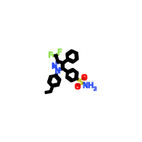 CCc1ccc(-n2nc(C(F)F)c(-c3ccccc3)c2-c2ccc(S(N)(=O)=O)cc2)cc1